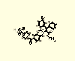 CCC(=O)c1c(-c2ccccc2)c2cc(Br)ccc2c(=O)n1Cc1ccc(C(=O)N2CCN(S(C)(=O)=O)CC2)cc1